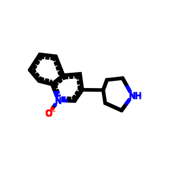 [O-][n+]1cc(C2CCNCC2)cc2ccccc21